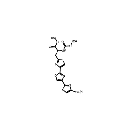 CC(C)(C)OC(=O)N[C@@H](Cc1nc(-c2nc(-c3nc(C(=O)O)cs3)co2)cs1)C(=O)OC(C)(C)C